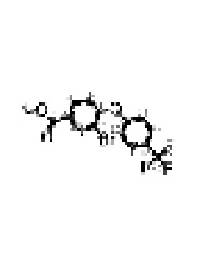 COC(=O)c1ccc(Oc2ccc(C(F)(F)F)cc2)c(Br)n1